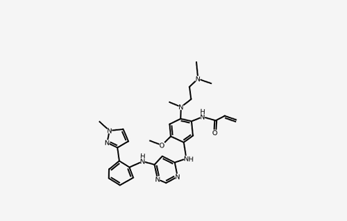 C=CC(=O)Nc1cc(Nc2cc(Nc3ccccc3-c3ccn(C)n3)ncn2)c(OC)cc1N(C)CCN(C)C